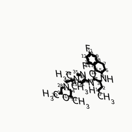 CCCC(NC1CCc2cc(F)cc(F)c2C1)C(=O)Nc1cn(C(C)(C)CN2CC(C)OC(C)C2)cn1